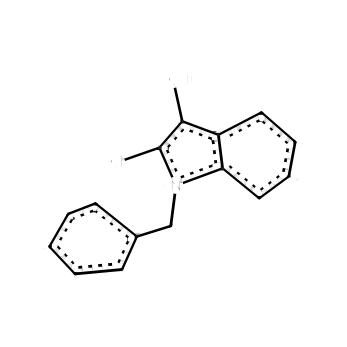 O=Cc1c(Cl)n(Cc2ccccc2)c2ccccc12